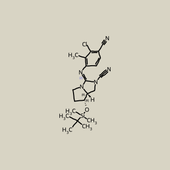 Cc1c(/N=C2\N(C#N)C[C@@H]3[C@H](O[Si](C)(C)C(C)(C)C)CCN23)ccc(C#N)c1Cl